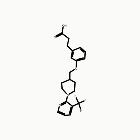 O=C(O)CCc1cccc(OCC2CCN(c3ncccc3C(F)(F)F)CC2)c1